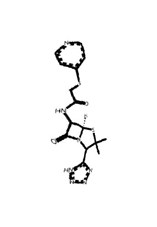 CC1(C)S[C@@H]2C(NC(=O)CSc3ccncc3)C(=O)N2C1c1nnn[nH]1